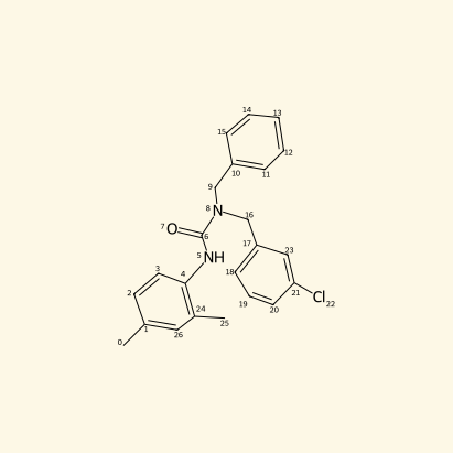 Cc1ccc(NC(=O)N(Cc2ccccc2)Cc2cccc(Cl)c2)c(C)c1